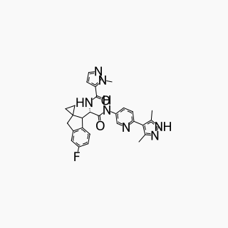 Cc1n[nH]c(C)c1-c1ccc(NC(=O)[C@@H](NC(=O)c2ccnn2C)C2c3ccc(F)cc3CC23CC3)cn1